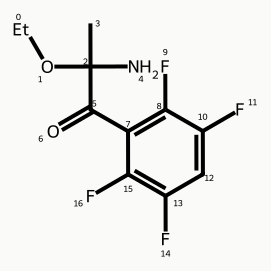 CCOC(C)(N)C(=O)c1c(F)c(F)cc(F)c1F